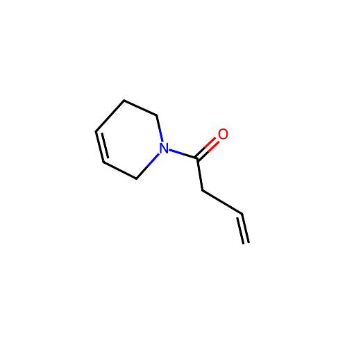 C=CCC(=O)N1CC=CCC1